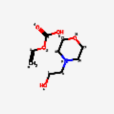 C=COC(=O)O.OCCN1CCOCC1